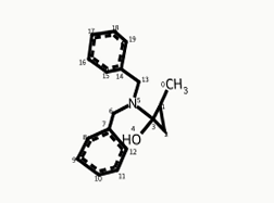 CC1CC1(O)N(Cc1ccccc1)Cc1ccccc1